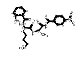 C[C@H](NC(=O)[C@H](CCCCN)NC(=O)c1ccccc1N)C(=O)NC(=O)c1ccc([N+](=O)[O-])cc1